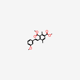 COC(=O)c1cc(C)c(C=Cc2cccc(OC)c2)c(C(=O)OC)c1C